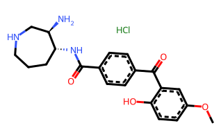 COc1ccc(O)c(C(=O)c2ccc(C(=O)N[C@@H]3CCCNC[C@H]3N)cc2)c1.Cl